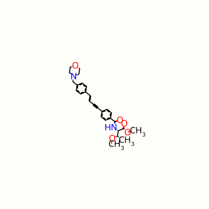 COC(=O)[C@@H](NC(=O)c1ccc(C#C/C=C/c2ccc(CN3CCOCC3)cc2)cc1)[C@@H](C)OC